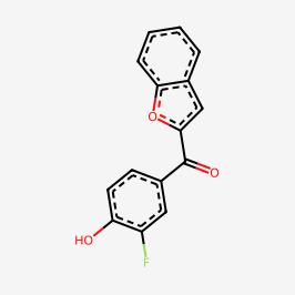 O=C(c1ccc(O)c(F)c1)c1cc2ccccc2o1